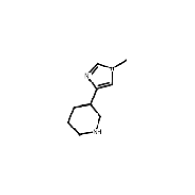 Cn1cnc(C2CCCNC2)c1